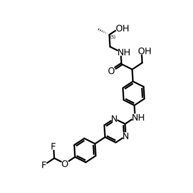 C[C@H](O)CNC(=O)C(CO)c1ccc(Nc2ncc(-c3ccc(OC(F)F)cc3)cn2)cc1